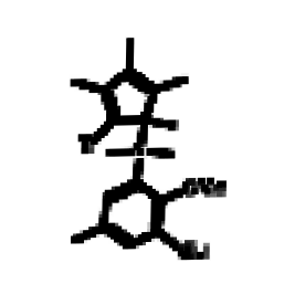 COc1c(C(C)(C)C)cc(C)cc1[Si](C)(C)C1(C)C(C)=C(C)C(C)=[C]1[Ti]